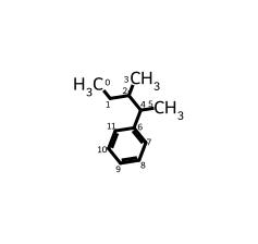 CC[C](C)C(C)c1ccccc1